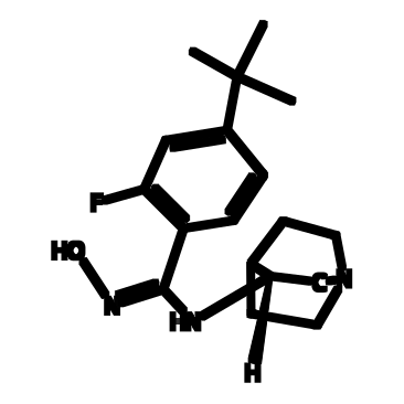 CC(C)(C)c1ccc(/C(=N\O)N[C@H]2CN3CCC2CC3)c(F)c1